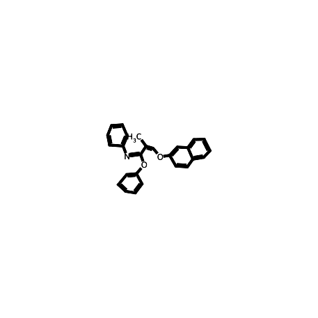 CC(=COc1ccc2ccccc2c1)/C(=N\c1ccccc1)Oc1ccccc1